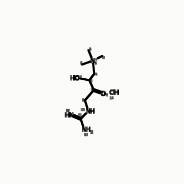 C[N+](C)(C)CC(O)C(=O)CNC(=N)N.Cl